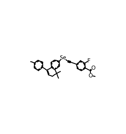 COC(=O)c1ccc(C#C[Se]c2ccc3c(c2)C(C)(C)CC=C3c2ccc(C)cc2)cc1F